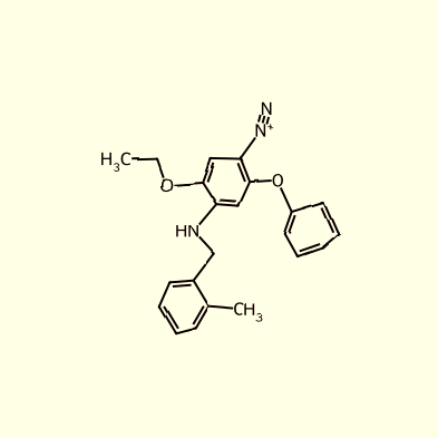 CCOc1cc([N+]#N)c(Oc2ccccc2)cc1NCc1ccccc1C